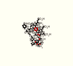 CC(=O)c1ccc(C[C@H](NC(=O)[C@@H](CCC(=O)O)NC(=O)[C@@H](CCC(=O)O)NC(=O)[C@@H](CCC(=O)O)NC(=O)[C@@H](CCC(=O)O)NC(=O)[C@@H](CCC(=O)O)NC(=O)[C@@H](CCC(=O)O)NC(=O)[C@@H](CCC(=O)O)NC(=O)[C@@H](CCC(=O)O)NC(=O)[C@H](N)CCC(=O)O)C(=O)NCCOCC(=O)N[C@@H](CCCNC(=N)N)C(=O)N2CCC[C@H]2C(=O)N[C@@H](CC(C)C)C(=O)NC(C)C)cc1